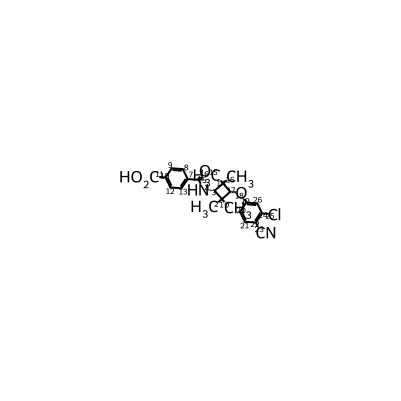 CC1(C)[C@H](NC(=O)c2ccc(C(=O)O)cc2)C(C)(C)[C@H]1Oc1ccc(C#N)c(Cl)c1